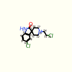 O=C1Nc2ccc(Cl)cc2C12CCN(CCCl)CC2